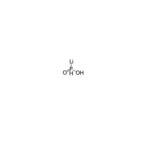 [Li][PH](=O)O